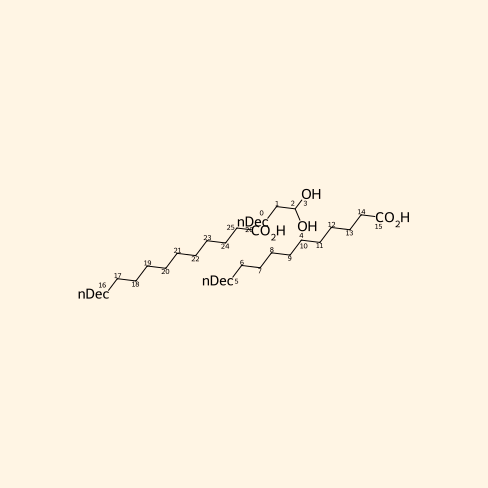 CCCCCCCCCCCC(O)O.CCCCCCCCCCCCCCCCCCCC(=O)O.CCCCCCCCCCCCCCCCCCCC(=O)O